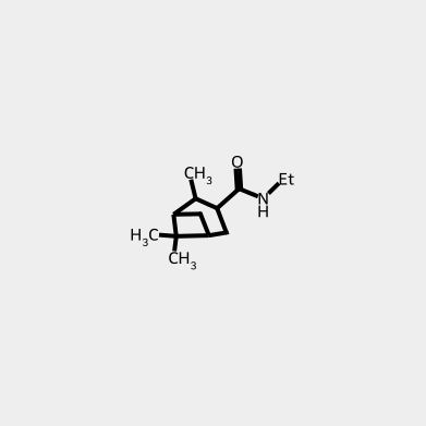 CCNC(=O)C1CC2CC(C1C)C2(C)C